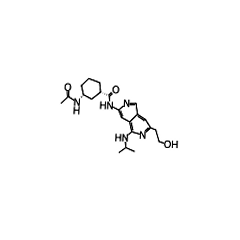 CC(=O)N[C@@H]1CCC[C@H](C(=O)Nc2cc3c(NC(C)C)nc(CCO)cc3cn2)C1